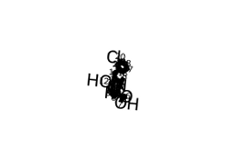 Cc1nc2c(C(=O)O)cnn2c(O)c1Cc1cccc(Cl)c1